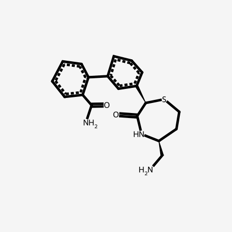 NC[C@@H]1CCS[C@H](c2cccc(-c3ccccc3C(N)=O)c2)C(=O)N1